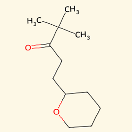 CC(C)(C)C(=O)CCC1CCCCO1